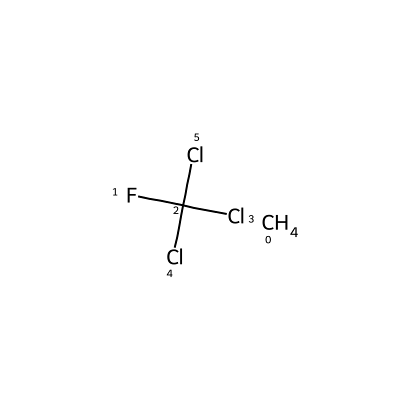 C.FC(Cl)(Cl)Cl